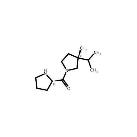 CC(C)[C@@]1(C)CCN(C(=O)[C@H]2CCCN2)C1